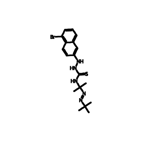 CC(C)(C)/N=N/C(C)(C)NC(=S)NNc1ccc2c(Br)cccc2c1